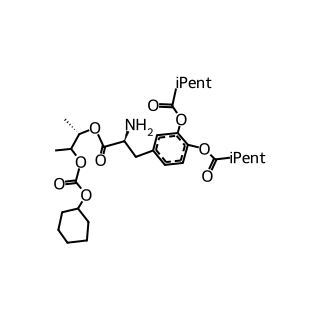 CCCC(C)C(=O)Oc1ccc(C[C@H](N)C(=O)O[C@@H](C)C(C)OC(=O)OC2CCCCC2)cc1OC(=O)C(C)CCC